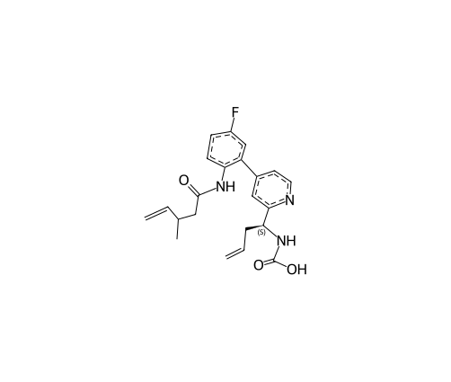 C=CC[C@H](NC(=O)O)c1cc(-c2cc(F)ccc2NC(=O)CC(C)C=C)ccn1